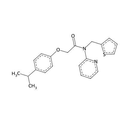 CC(C)c1ccc(OCC(=O)N(Cc2cccs2)c2ccccn2)cc1